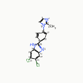 Cc1nccn1-c1ccc(-c2nc3cc(Cl)c(Cl)cc3[nH]2)cc1